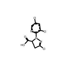 O=C(O)C1CC(Cl)=NN1c1ncc(Cl)cc1Cl